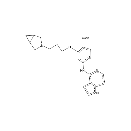 COc1cnc(Nc2nccc3[nH]ccc23)cc1OCCCN1CC2CC2C1